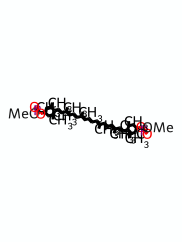 COP(C)(=O)OC1C=C(C)C(/C=C/C(C)=C/C=C/C(C)=C/C=C/C=C(C)/C=C/C=C(C)/C=C/C2=C(C)CC(OP(C)(=O)OC)CC2(C)C)C(C)(C)C1